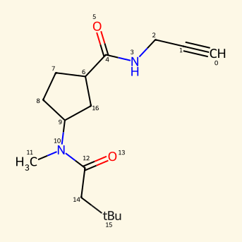 C#CCNC(=O)C1CCC(N(C)C(=O)CC(C)(C)C)C1